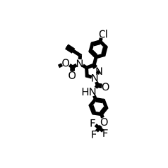 C#CCN(C(=O)OC)C1CN(C(=O)Nc2ccc(OC(F)(F)F)cc2)N=C1c1ccc(Cl)cc1